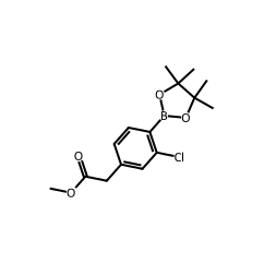 COC(=O)Cc1ccc(B2OC(C)(C)C(C)(C)O2)c(Cl)c1